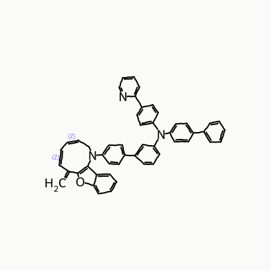 C=C1/C=C\C=C/CN(c2ccc(-c3cccc(N(c4ccc(-c5ccccc5)cc4)c4ccc(-c5ccccn5)cc4)c3)cc2)c2c1oc1ccccc21